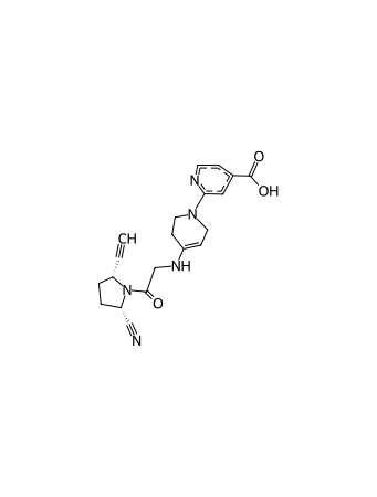 C#C[C@H]1CC[C@@H](C#N)N1C(=O)CNC1=CCN(c2cc(C(=O)O)ccn2)CC1